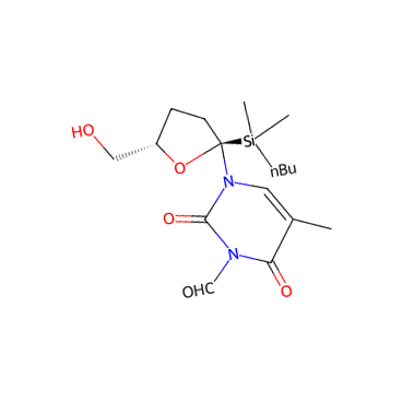 CCCC[Si](C)(C)[C@]1(n2cc(C)c(=O)n(C=O)c2=O)CC[C@@H](CO)O1